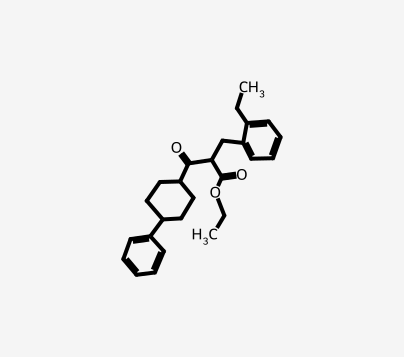 CCOC(=O)C(Cc1ccccc1CC)C(=O)C1CCC(c2ccccc2)CC1